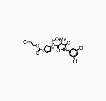 COC(C(=O)Nc1cc(Cl)cc(Cl)c1)C(=O)N[C@H]1C=C[C@@H](C(=O)OCCCl)C1